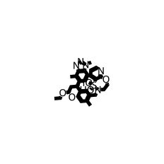 CCOC(=O)CC(c1ccc(C)c(CN2CCOc3ncccc3S2(O)O)c1)c1ccc2c(nnn2C)c1C